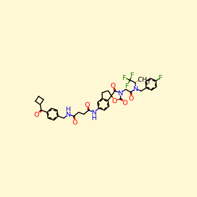 C[C@H](N(Cc1ccc(F)cc1)C(=O)CN1C(=O)OC2(CCc3cc(NC(=O)CCC(=O)NCc4ccc(C(=O)C5CCC5)cc4)ccc32)C1=O)C(F)(F)F